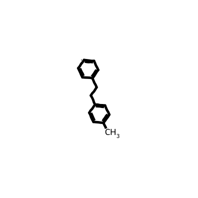 Cc1ccc(CCc2cc[c]cc2)cc1